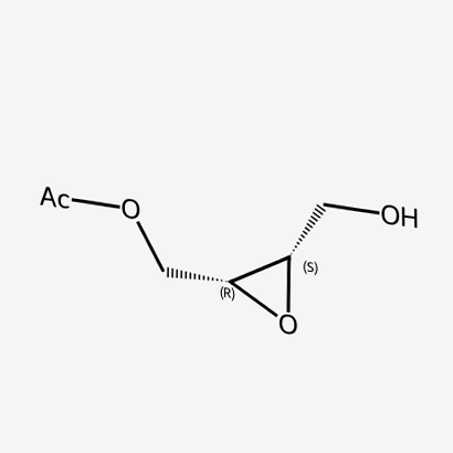 CC(=O)OC[C@H]1O[C@H]1CO